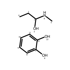 CCC(O)NC.Oc1ccccc1O